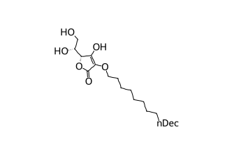 CCCCCCCCCCCCCCCCCCOC1=C(O)[C@@H]([C@H](O)CO)OC1=O